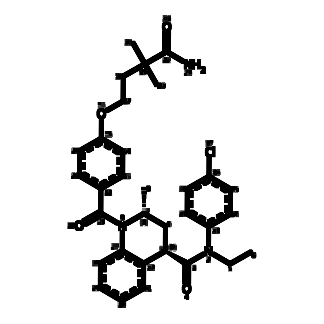 CCN(C(=O)[C@@H]1C[C@@H](C)N(C(=O)c2ccc(OCCC(C)(C)C(N)=O)cc2)c2ccccc21)c1ccc(Cl)cc1